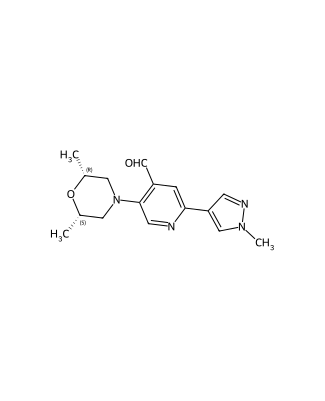 C[C@@H]1CN(c2cnc(-c3cnn(C)c3)cc2C=O)C[C@H](C)O1